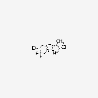 CCC1Cc2cc3c(C)c(Cl)cnc3n2CC1(F)F